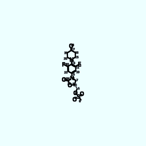 CS(=O)(=O)OC[C@H]1CN(c2cc(F)c(N3CCC(=O)CC3)c(F)c2)C(=O)O1